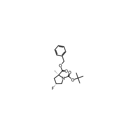 CC(C)(C)OC(=O)N1C[C@H](F)C[C@@]1(C)C(=O)OCc1ccccc1